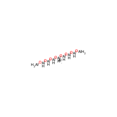 [AlH2][O][AlH][O][AlH][O][AlH][O][AlH][O][AlH][O][AlH][O][AlH][O][AlH2].[Al]